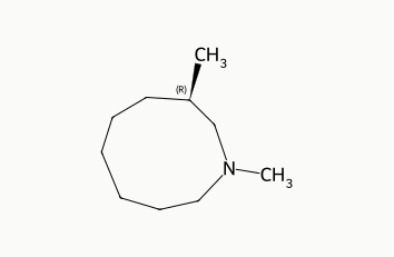 C[C@@H]1CCCCCCN(C)C1